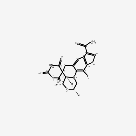 C[C@H]1CN2c3c(cc4c(C(N)=O)noc4c3F)CC3(C(=O)NC(=O)NC3=O)[C@@H]2[C@@H](C)O1